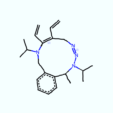 C=C/C1=C(\C=C)N(C(C)C)Cc2ccccc2C(C)N(C(C)C)/N=N\C1